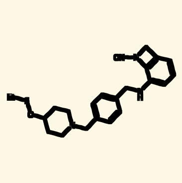 CCSOC1CCN(Cc2ccc(CNc3cccc4c3N(N=O)C4)cc2)CC1